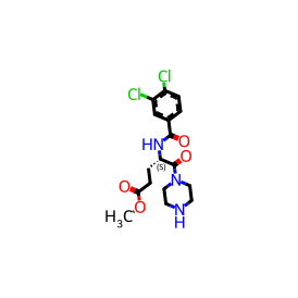 COC(=O)CC[C@H](NC(=O)c1ccc(Cl)c(Cl)c1)C(=O)N1CCNCC1